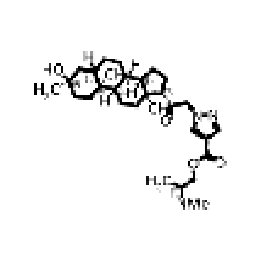 CN[C@@H](C)COC(=O)c1cnn(CC(=O)[C@H]2CC[C@H]3[C@@H]4CC[C@H]5C[C@](C)(O)CC[C@]5(C)[C@H]4CC[C@]23C)c1